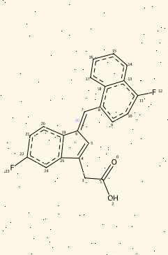 O=C(O)CC1=C/C(=C\c2ccc(F)c3ccccc23)c2ccc(F)cc21